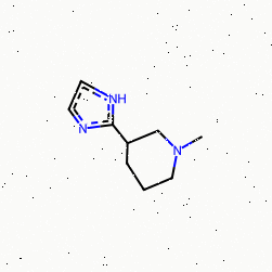 CN1CCCC(c2ncc[nH]2)C1